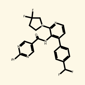 CC(C)c1ncc(C(=O)Nc2c(-c3ccc(C(F)F)cc3)ccnc2N2CCC(F)(F)C2)cn1